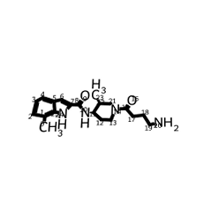 Cc1cccc2cc(C(=O)N[C@H]3CCN(C(=O)CCCN)C[C@@H]3C)[nH]c12